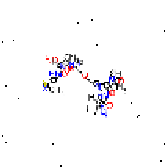 CCN(c1cc(-c2ccc(CCCOCCCCC(=O)N[C@H](C(=O)N3C[C@H](O)C[C@H]3C(=O)NCc3ccc(-c4scnc4C)cc3)C(C)(C)C)cn2)cc(C(=O)NCc2c(C)cc(C)[nH]c2=O)c1C)C1CCOCC1